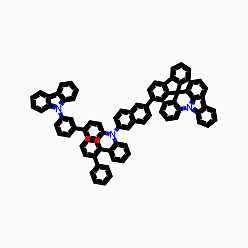 c1ccc(-c2ccccc2-c2ccccc2N(c2ccc(-c3cccc(-n4c5ccccc5c5ccccc54)c3)cc2)c2ccc3cc(-c4ccc5c(c4)C4(c6ccccc6-5)c5ccccc5-n5c6ccccc6c6cccc4c65)ccc3c2)cc1